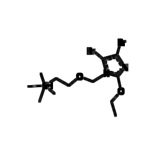 CCOc1nc(Br)c(Br)n1COCC[SH](C)(C)(C)C